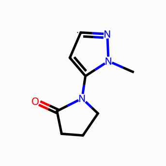 Cn1n[c]cc1N1CCCC1=O